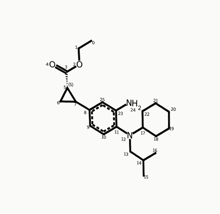 CCOC(=O)[C@H]1CC1c1ccc(N(CC(C)C)C2CCCCC2)c(N)c1